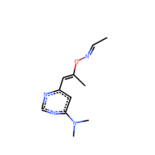 C/C=N/O/C(C)=C/c1cc(N(C)C)ncn1